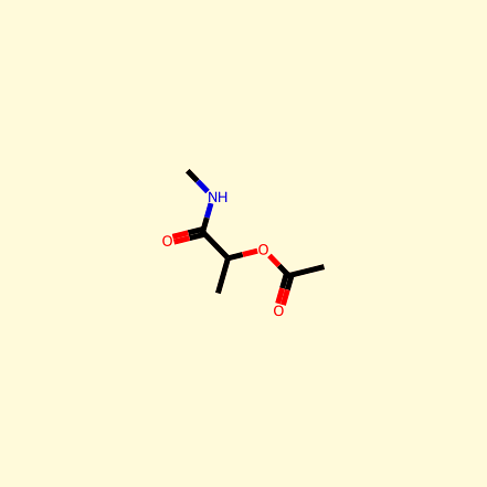 CNC(=O)C(C)OC(C)=O